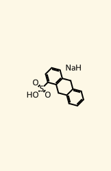 O=S(=O)(O)c1cccc2c1Cc1ccccc1C2.[NaH]